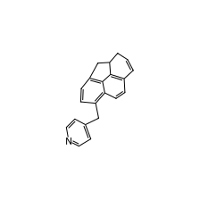 C1=Cc2ccc3c(Cc4ccncc4)ccc4c3c2C(C1)C4